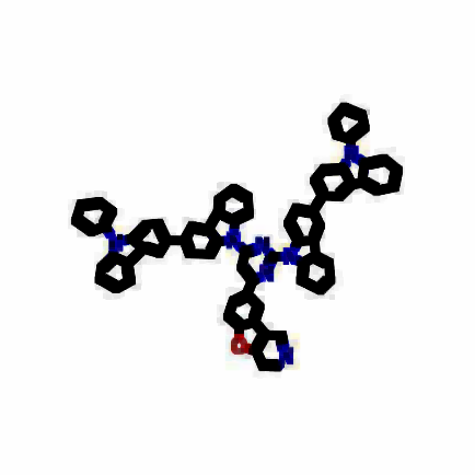 c1ccc(-n2c3ccccc3c3cc(-c4ccc5c(c4)c4ccccc4n5-c4cc(-c5ccc6oc7ccncc7c6c5)nc(-n5c6ccccc6c6cc(-c7ccc8c(c7)c7ccccc7n8-c7ccccc7)ccc65)n4)ccc32)cc1